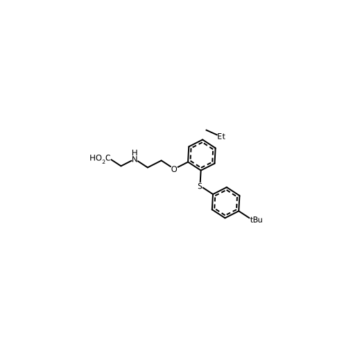 CC(C)(C)c1ccc(Sc2ccccc2OCCNCC(=O)O)cc1.CCC